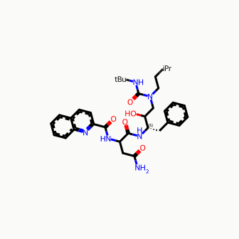 CC(C)CCN(CC(O)[C@H](Cc1ccccc1)NC(=O)C(CC(N)=O)NC(=O)c1ccc2ccccc2n1)C(=O)NC(C)(C)C